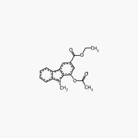 CCOC(=O)c1cc(OC(C)=O)c2c(c1)c1ccccc1n2C